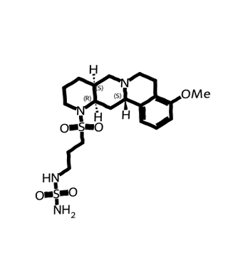 COc1cccc2c1CCN1C[C@@H]3CCCN(S(=O)(=O)CCCNS(N)(=O)=O)[C@@H]3C[C@@H]21